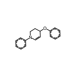 C1=CN(c2ccccc2)CCC1Oc1ccccc1